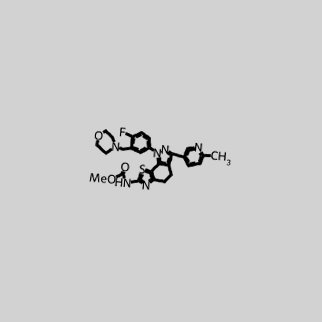 COC(=O)Nc1nc2c(s1)-c1c(c(-c3ccc(C)nc3)nn1-c1ccc(F)c(CN3CCOCC3)c1)CC2